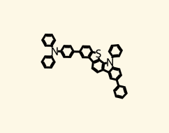 c1ccc(-c2ccc3c(c2)c2ccc4c5cc(-c6ccc(N(c7ccccc7)c7ccccc7)cc6)ccc5sc4c2n3-c2ccccc2)cc1